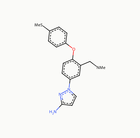 CNCc1cc(-n2ccc(N)n2)ccc1Oc1ccc(SC)cc1